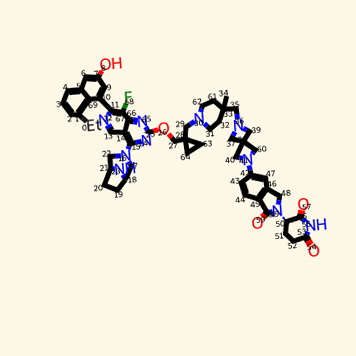 CCc1cccc2cc(O)cc(-c3ncc4c(N5CC6CCC(C5)N6)nc(OCC5(CN6CCC(C)(CN7CC8(C7)CN(c7ccc9c(c7)CN([C@H]7CCC(=O)NC7=O)C9=O)C8)CC6)CC5)nc4c3F)c12